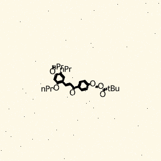 CCCOc1cc(OCCC)c(CCC)cc1C=CC(=O)c1ccc(OCOC(=O)C(C)(C)C)cc1